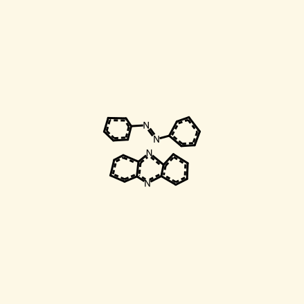 c1ccc(/N=N/c2ccccc2)cc1.c1ccc2nc3ccccc3nc2c1